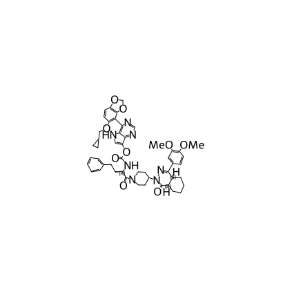 COc1ccc(C2=NN(C3CCN(C(=O)[C@@H](CCc4ccccc4)NC(=O)Oc4c[nH]c5c(-c6c(OCC7CC7)ccc7c6OCO7)ncnc45)CC3)C(=O)[C@@H]3CCCC[C@H]23)cc1OC